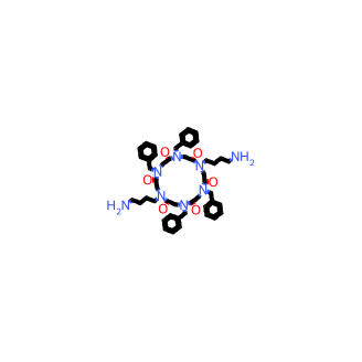 NCCCCN1CC(=O)N(Cc2ccccc2)CC(=O)N(Cc2ccccc2)CC(=O)N(CCCCN)CC(=O)N(Cc2ccccc2)CC(=O)N(Cc2ccccc2)CC1=O